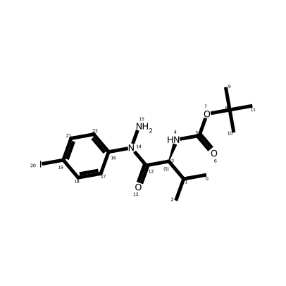 CC(C)[C@H](NC(=O)OC(C)(C)C)C(=O)N(N)c1ccc(I)cc1